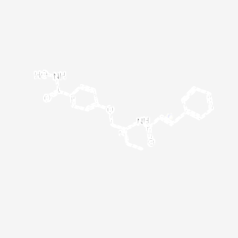 CC[C@H](COc1ccc(C(=O)NO)cc1)NC(=O)/C=C/c1ccccc1